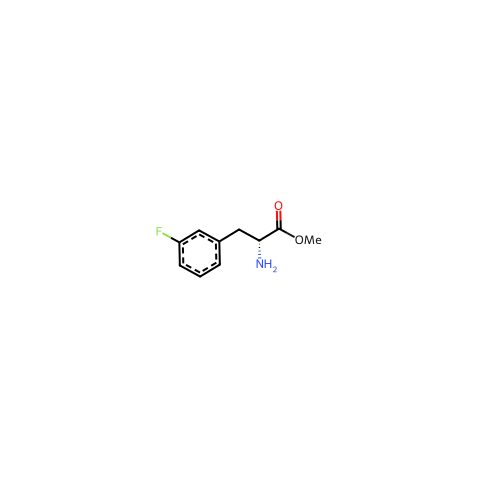 COC(=O)[C@H](N)Cc1cccc(F)c1